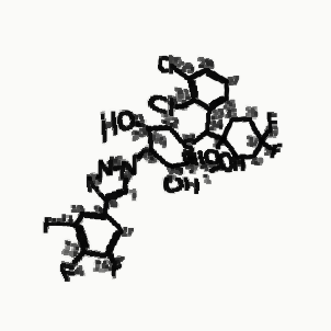 OC[C@@H]1[C@H](O)[C@@H](n2cc(-c3cc(F)c(F)c(F)c3)nn2)[C@@H](O)C[SH]1C(c1cccc(Cl)c1Cl)C1(O)CCC(F)(F)CC1